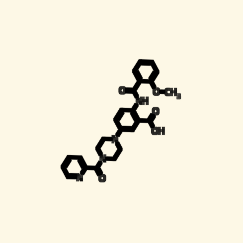 COc1ccccc1C(=O)Nc1ccc(N2CCN(C(=O)c3ccccn3)CC2)cc1C(=O)O